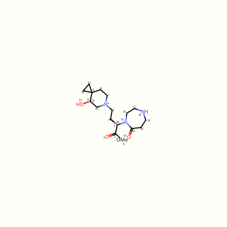 COC(=O)[C@@H](CCN1CCC2(CC2)[C@H](O)C1)N1CCNCCC1=O